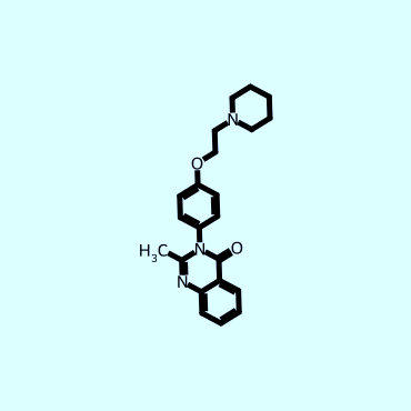 Cc1nc2ccccc2c(=O)n1-c1ccc(OCCN2CCCCC2)cc1